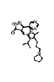 Cc1[nH]c(/C=C2/C(=O)NN=C2c2cncnc2)c(C(C)C)c1CCCN1CCCC1